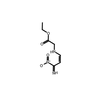 CCOC(=O)CN/C=C\C(=N)[N+](=O)[O-]